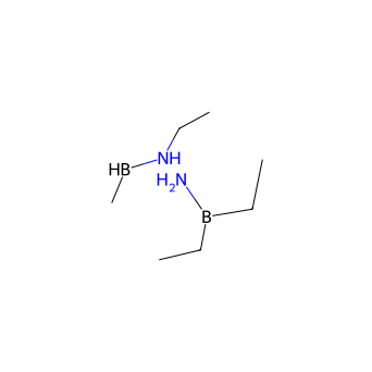 CBNCC.CCB(N)CC